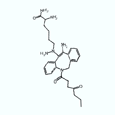 CCCC(=O)CCC(=O)N1Cc2ccccc2/C(N)=C(/N(N)CCCCC(N)C(N)=O)c2ccccc21